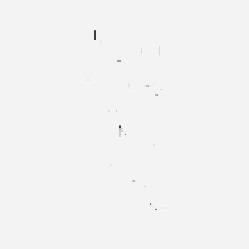 CC(C)(C)C(=O)ON1CCC(N)CC1